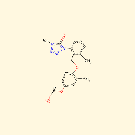 Cc1cc(OBO)ccc1OCc1c(C)cccc1-n1nnn(C)c1=O